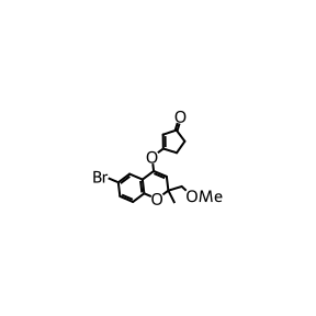 COCC1(C)C=C(OC2=CC(=O)CC2)c2cc(Br)ccc2O1